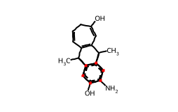 CC12C3=C(C=CCC(O)=C3)C(C)(c3ccccc31)c1cc(O)c(N)cc12